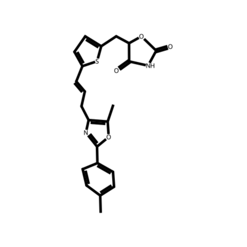 Cc1ccc(-c2nc(CC=Cc3ccc(CC4OC(=O)NC4=O)s3)c(C)o2)cc1